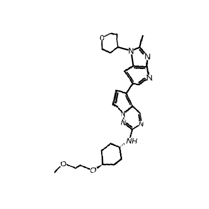 COCCO[C@H]1CC[C@H](Nc2ncc3c(-c4cnc5nc(C)n(C6CCOCC6)c5c4)ccn3n2)CC1